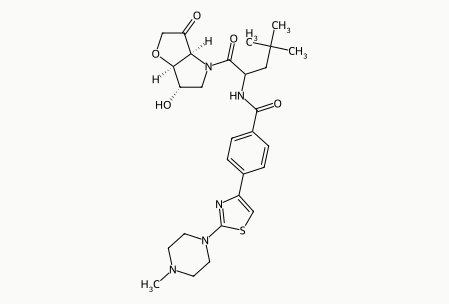 CN1CCN(c2nc(-c3ccc(C(=O)NC(CC(C)(C)C)C(=O)N4C[C@H](O)[C@H]5OCC(=O)[C@H]54)cc3)cs2)CC1